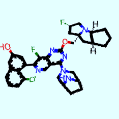 Oc1cc(-c2ncc3c(N4CC5CCC(C4)N5)nc(OC[C@]45C[C@H](F)CN4[C@H]4CCC[C@H]4C5)nc3c2F)c2c(Cl)cccc2c1